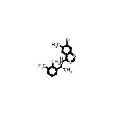 Cc1cc2c(N[C@H](C)c3cccc(C(F)(F)F)c3C)ncnc2cc1Br